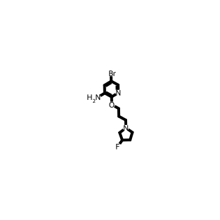 Nc1cc(Br)cnc1OCCCN1CCC(F)C1